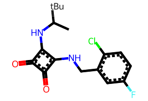 CC(Nc1c(NCc2cc(F)ccc2Cl)c(=O)c1=O)C(C)(C)C